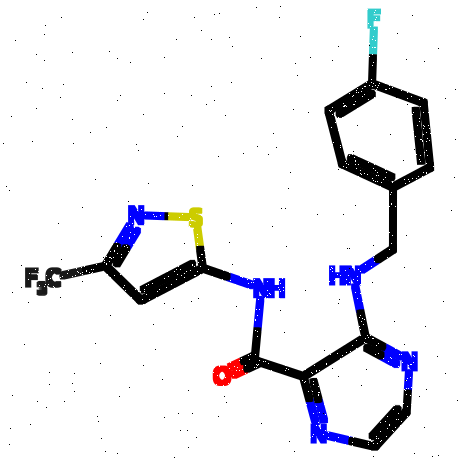 O=C(Nc1cc(C(F)(F)F)ns1)c1nccnc1NCc1ccc(F)cc1